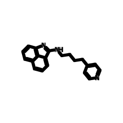 c1cc2c3c(cccc3c1)C(NCCCCc1ccncc1)=N2